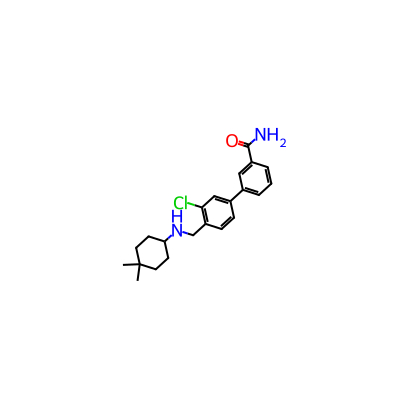 CC1(C)CCC(NCc2ccc(-c3cccc(C(N)=O)c3)cc2Cl)CC1